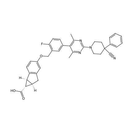 Cc1nc(N2CCC(C#N)(c3ccccc3)CC2)nc(C)c1-c1ccc(F)c(COc2ccc3c(c2)C[C@H]2[C@H](C(=O)O)[C@@H]32)c1